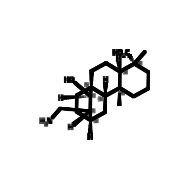 C[C@@]12CCC[C@@](C)(C(=O)O)[C@H]1CC[C@@]13CC[C@@H](C[C@@H]21)[C@H](CN)[C@H]3O